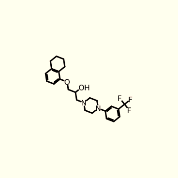 OC(COc1cccc2c1CCCC2)CN1CCN(c2cccc(C(F)(F)F)c2)CC1